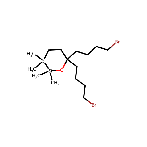 C[Si]1(C)CCC(CCCCBr)(CCCCBr)O[Si]1(C)C